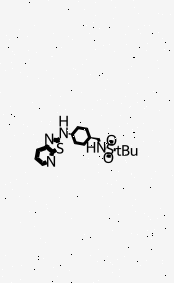 CC(C)(C)S(=O)(=O)NC[C@H]1CC[C@H](Nc2nc3cccnc3s2)CC1